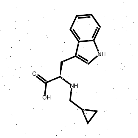 O=C(O)[C@@H](Cc1c[nH]c2ccccc12)NCC1CC1